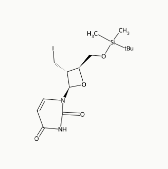 CC(C)(C)[Si](C)(C)OC[C@H]1O[C@@H](n2ccc(=O)[nH]c2=O)[C@@H]1CI